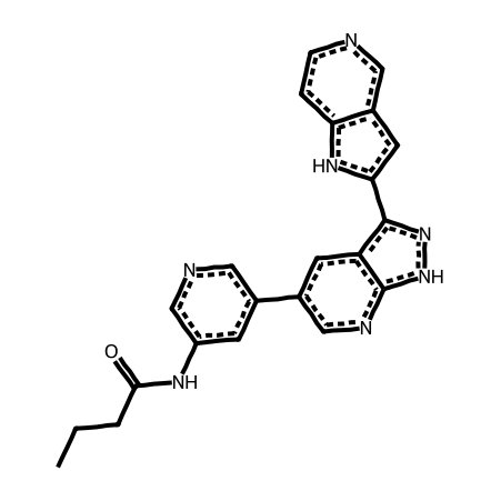 CCCC(=O)Nc1cncc(-c2cnc3[nH]nc(-c4cc5cnccc5[nH]4)c3c2)c1